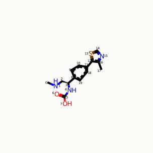 CNC[C@H](NC(=O)O)c1ccc(-c2scnc2C)cc1